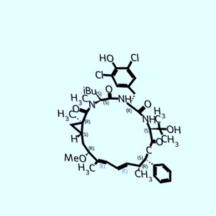 CC[C@H](C)[C@H]1C(=O)N[C@H](Cc2cc(Cl)c(O)c(Cl)c2)C(=O)N[C@@H](C(C)(C)O)C(=O)C[C@H](c2ccccc2)[C@H](C)/C=C/C=C(\C)[C@H](OC)C[C@@H]2C[C@@]2(C)C(=O)N1C